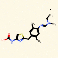 CCN(C)C=Nc1cc(C)c(Cc2nc(NC(=O)O)cs2)cc1C